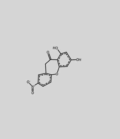 O=C1Cc2cc([N+](=O)[O-])ccc2Oc2cc(O)cc(O)c21